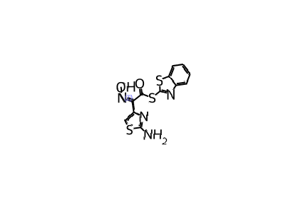 Nc1nc(/C(=N/O)C(=O)Sc2nc3ccccc3s2)cs1